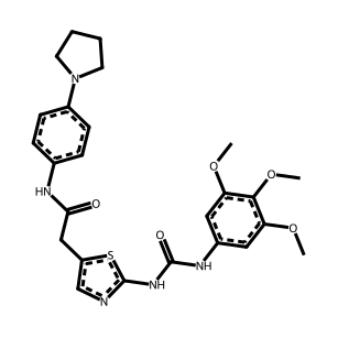 COc1cc(NC(=O)Nc2ncc(CC(=O)Nc3ccc(N4CCCC4)cc3)s2)cc(OC)c1OC